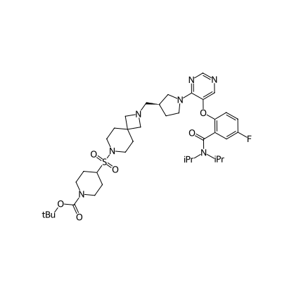 CC(C)N(C(=O)c1cc(F)ccc1Oc1cncnc1N1CC[C@@H](CN2CC3(CCN(S(=O)(=O)C4CCN(C(=O)OC(C)(C)C)CC4)CC3)C2)C1)C(C)C